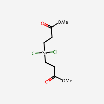 COC(=O)C[CH2][Sn]([Cl])([Cl])[CH2]CC(=O)OC